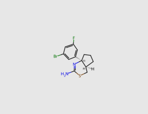 NC1=N[C@@]2(c3cc(F)cc(Br)c3)CCC[C@H]2CS1